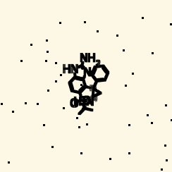 CC(C)S(=O)(=O)c1ccc2[nH]c(N)nc2c1[C@@]1(c2ccccc2)C[C@@H]1N